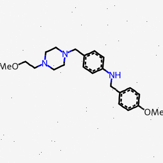 COCCN1CCN(Cc2ccc(NCc3ccc(OC)cc3)cc2)CC1